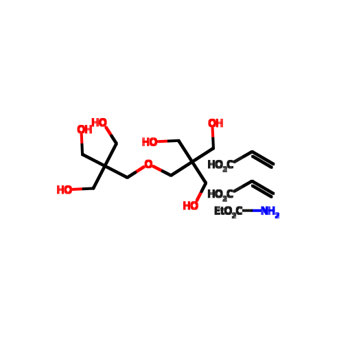 C=CC(=O)O.C=CC(=O)O.CCOC(N)=O.OCC(CO)(CO)COCC(CO)(CO)CO